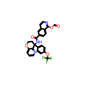 O=COc1nccc2cc(C(=O)NC3(c4ccc(OC(F)(F)F)cc4)CCOc4cccnc43)ccc12